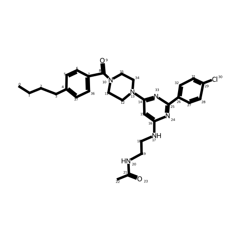 CCCCc1ccc(C(=O)N2CCN(c3cc(NCCNC(C)=O)nc(-c4ccc(Cl)cc4)n3)CC2)cc1